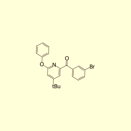 CC(C)(C)c1cc(Oc2ccccc2)nc(C(=O)c2cccc(Br)c2)c1